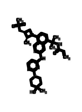 C=CC(=O)NC(C)(C)c1ccc(N2C[C@H](CS(C)(=O)=O)[C@H]2C)c2cnc(Nc3ccnc(N4CCC(C)(O)CC4)n3)cc12